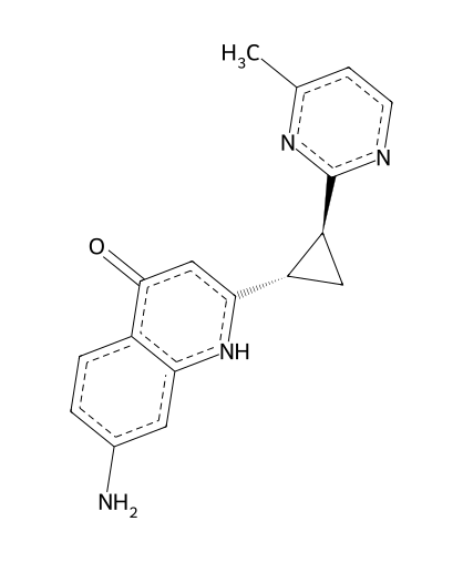 Cc1ccnc([C@H]2C[C@@H]2c2cc(=O)c3ccc(N)cc3[nH]2)n1